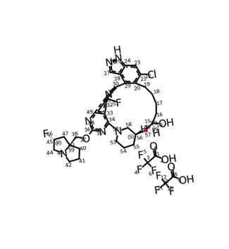 O=C(O)C(F)(F)F.O=C(O)C(F)(F)F.O[C@@H]1CCCCc2c(Cl)cc3[nH]ncc3c2-c2ncc3c(nc(OC[C@@]45CCCN4C[C@H](F)C5)nc3c2F)N2CCC[C@@H](C1)C2